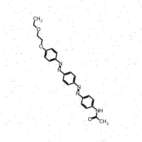 CCOCCOc1ccc(N=Nc2ccc(N=Nc3ccc(NC(C)=O)cc3)cc2)cc1